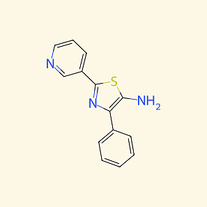 Nc1sc(-c2cccnc2)nc1-c1ccccc1